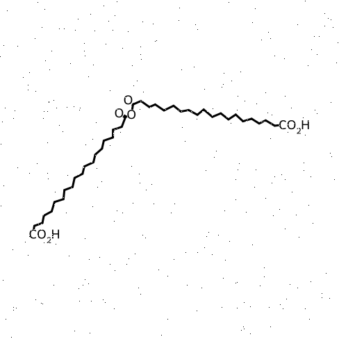 O=C(O)CCCCCCCCCCCCCCCCCCC(=O)OC(=O)CCCCCCCCCCCCCCCCCCC(=O)O